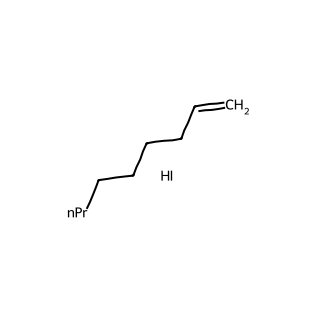 C=CCCCCCCC.I